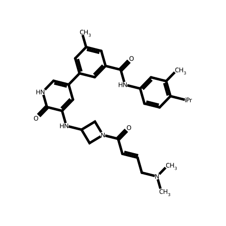 Cc1cc(C(=O)Nc2ccc(C(C)C)c(C)c2)cc(-c2c[nH]c(=O)c(NC3CN(C(=O)C=CCN(C)C)C3)c2)c1